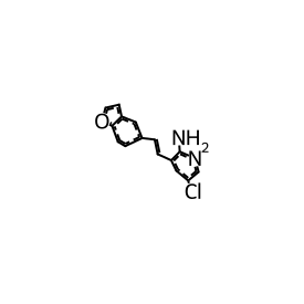 Nc1ncc(Cl)cc1C=Cc1ccc2occc2c1